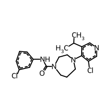 CC(C)c1cncc(Cl)c1N1CCCN(C(=O)Nc2cccc(Cl)c2)CC1